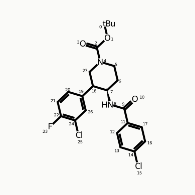 CC(C)(C)OC(=O)N1CC[C@@H](NC(=O)c2ccc(Cl)cc2)C(c2ccc(F)c(Cl)c2)C1